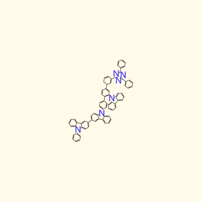 C1=CC(c2nc(-c3ccccc3)nc(-c3ccccc3)n2)=CC(c2ccc(-c3ccc(-n4c5ccccc5c5cc(-c6ccc7c(c6)c6ccccc6n7-c6ccccc6)ccc54)cc3)c(-n3c4ccccc4c4ccccc43)c2)C1